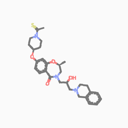 CC(=S)N1CCC(Oc2ccc3c(c2)O[C@@H](C)CN(CC(O)CN2CCc4ccccc4C2)C3=O)CC1